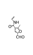 C=CNC(=O)c1cc(C=O)oc1C